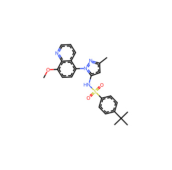 COc1ccc(-n2nc(C)cc2NS(=O)(=O)c2ccc(C(C)(C)C)cc2)c2cccnc12